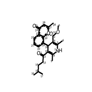 COC(=O)C1=C(C)NC(C)=C(C(=O)CCC(C)C)C1c1cccc2c(=O)cc(C)oc12